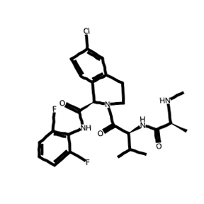 CN[C@@H](C)C(=O)N[C@H](C(=O)N1CCc2cc(Cl)ccc2[C@@H]1C(=O)Nc1c(F)cccc1F)C(C)C